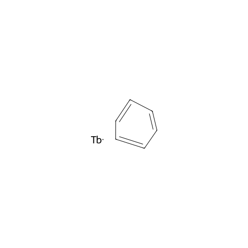 [Tb].c1ccccc1